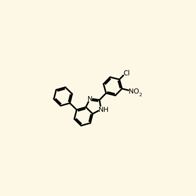 O=[N+]([O-])c1cc(-c2nc3c(-c4ccccc4)cccc3[nH]2)ccc1Cl